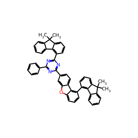 CC1(C)c2ccccc2-c2c(-c3nc(-c4ccccc4)nc(-c4ccc5c(c4)oc4cccc(-c6cccc7c6-c6ccccc6C7(C)C)c45)n3)cccc21